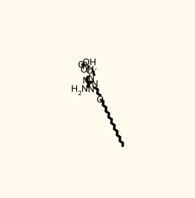 CCCCCCCCCCCCCCCCOCCCc1nc(N)c2ncn(C[C@@H](C)OCP(=O)(O)O)c2n1